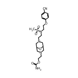 CS(=O)(=O)N(CCOc1ccc(C#N)cc1)CCN1CC2CN(CCOC(N)=O)CC(C1)O2